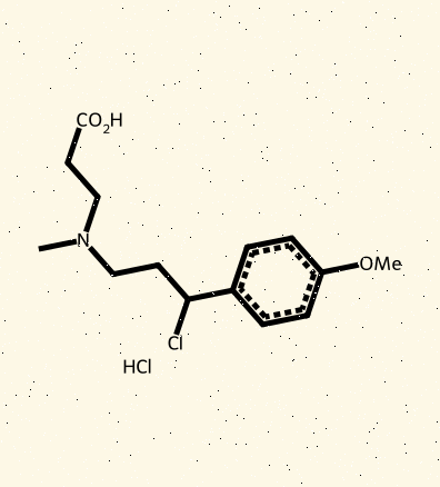 COc1ccc(C(Cl)CCN(C)CCC(=O)O)cc1.Cl